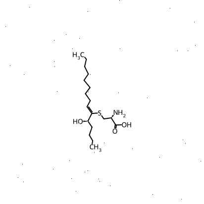 CCCCCCCCC=C(SC[C@@H](N)C(=O)O)[C@H](O)CCCC